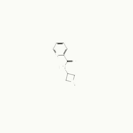 O=C(NC1C[S+]([O-])C1)c1ccccn1